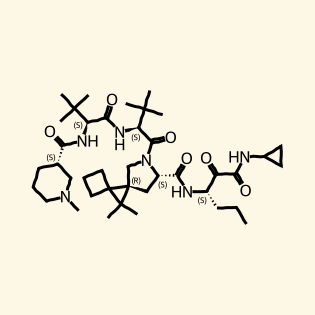 CCC[C@H](NC(=O)[C@@H]1C[C@@]2(CN1C(=O)[C@@H](NC(=O)[C@@H](NC(=O)[C@H]1CCCN(C)C1)C(C)(C)C)C(C)(C)C)C(C)(C)C21CCC1)C(=O)C(=O)NC1CC1